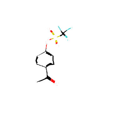 CC(=O)c1ccc(OS(=O)(=O)C(F)(F)F)cc1